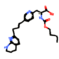 CCCCOC(=O)N[C@@H](Cc1ccc(CCCc2ccc3c(n2)NCCC3)cn1)C(=O)O